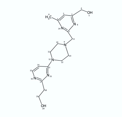 Cc1cc(CO)nc(CN2CCN(c3ccnc(CCO)n3)CC2)n1